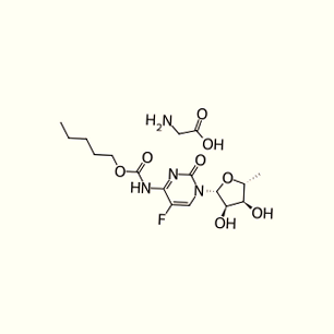 CCCCCOC(=O)Nc1nc(=O)n([C@@H]2O[C@H](C)[C@@H](O)[C@H]2O)cc1F.NCC(=O)O